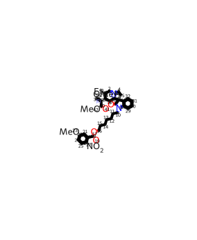 CC[C@H]1CN2CC[C@]3(C(=O)N(CCCCCCCOC(=O)c4cc(OC)ccc4[N+](=O)[O-])c4ccccc43)[C@@H]2C[C@@H]1/C(=C\OC)C(=O)OC